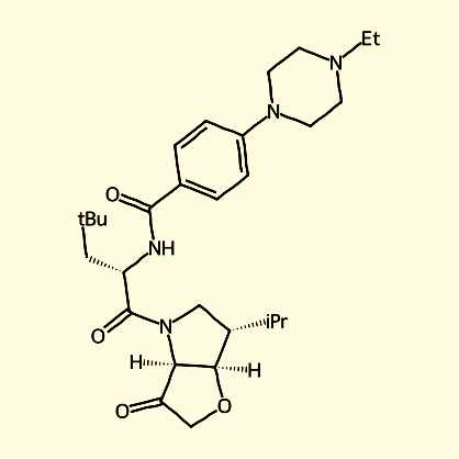 CCN1CCN(c2ccc(C(=O)N[C@@H](CC(C)(C)C)C(=O)N3C[C@H](C(C)C)[C@H]4OCC(=O)[C@H]43)cc2)CC1